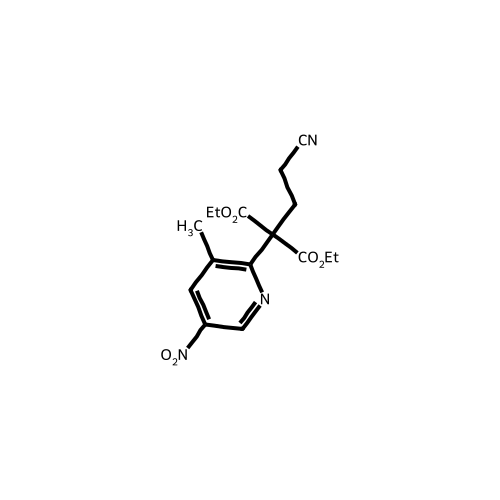 CCOC(=O)C(CCC#N)(C(=O)OCC)c1ncc([N+](=O)[O-])cc1C